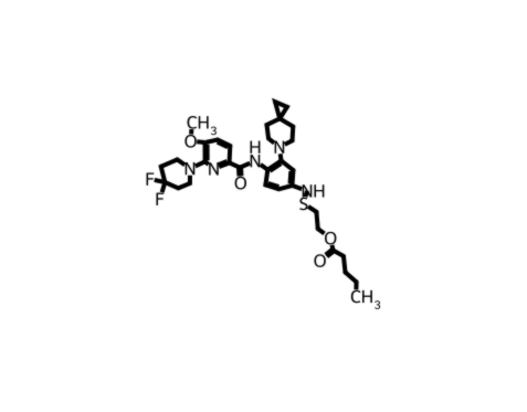 CCCCC(=O)OCCSNc1ccc(NC(=O)c2ccc(OC)c(N3CCC(F)(F)CC3)n2)c(N2CCC3(CC2)CC3)c1